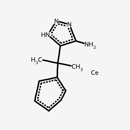 CC(C)(c1ccccc1)c1[nH]nnc1N.[Ce]